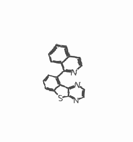 c1ccc2c(-c3cccc4sc5nccnc5c34)nccc2c1